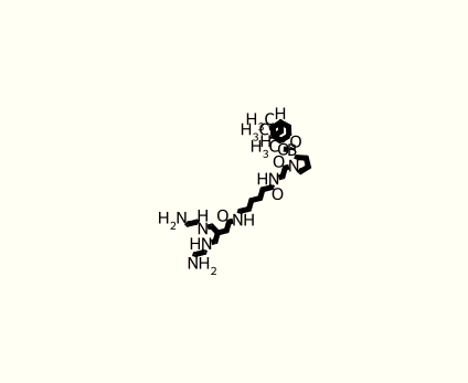 CC1(C)[C@@H]2CC3OB([C@@H]4CCCN4C(=O)CNC(=O)CCCCCNC(=O)CC(CNCCN)CNCCN)O[C@@]3(C)[C@H]1C2